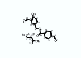 N[C@@H](CO)C(=O)O.O=Cc1ccc(C(=O)OCc2ccc(O)c(C=O)c2)cc1